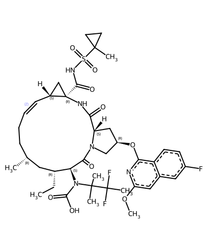 CC[C@@H]1C[C@H](C)CC/C=C\[C@@H]2C[C@@]2(C(=O)NS(=O)(=O)C2(C)CC2)NC(=O)[C@@H]2C[C@@H](Oc3nc(OC)cc4cc(F)ccc34)CN2C(=O)[C@H]1N(C(=O)O)C(C)(C)C(C)(F)F